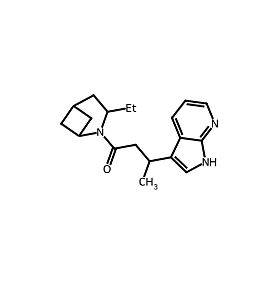 CCC1CC2CC(C2)N1C(=O)CC(C)c1c[nH]c2ncccc12